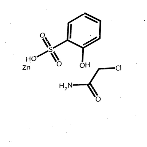 NC(=O)CCl.O=S(=O)(O)c1ccccc1O.[Zn]